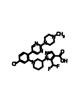 CN1CCN(c2ncc(-c3ccc(Cl)cc3N3CCCC(n4ncc(C(=O)O)c4C(F)F)C3)cn2)CC1